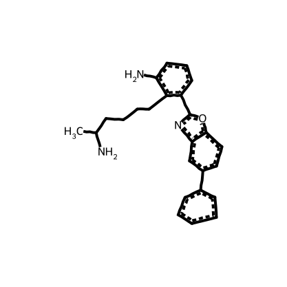 CC(N)CCCCc1c(N)cccc1-c1nc2cc(-c3ccccc3)ccc2o1